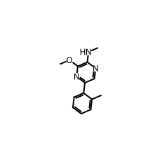 CNc1ncc(-c2ccccc2C)nc1OC